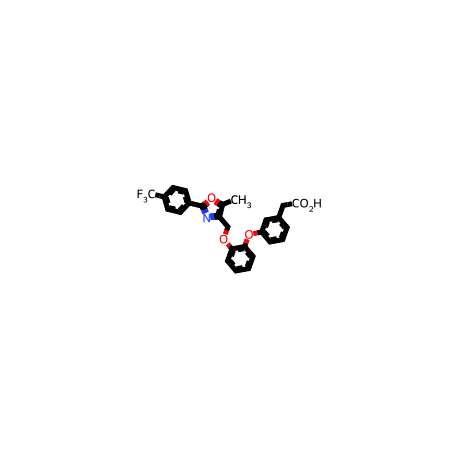 Cc1oc(-c2ccc(C(F)(F)F)cc2)nc1COc1ccccc1Oc1cccc(CC(=O)O)c1